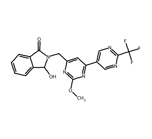 COc1nc(CN2C(=O)c3ccccc3C2O)cc(-c2cnc(C(F)(F)F)nc2)n1